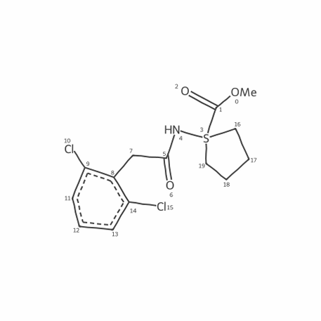 COC(=O)S1(NC(=O)Cc2c(Cl)cccc2Cl)CCCC1